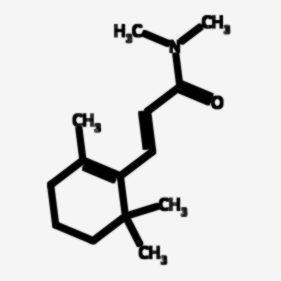 CC1=C(/C=C/C(=O)N(C)C)C(C)(C)CCC1